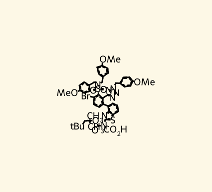 COc1ccc(CN(Cc2ccc(OC)cc2)S(=O)(=O)c2c(Br)ccc(-c3cccc4sc(N(C(=O)O)C(=O)OC(C)(C)CC(C)(C)C)nc34)c2-c2nnn(Cc3ccc(OC)cc3)n2)cc1